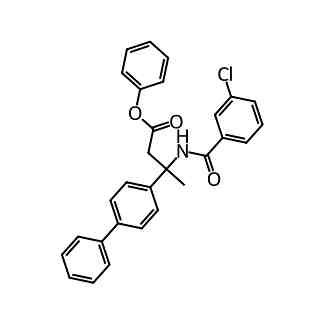 CC(CC(=O)Oc1ccccc1)(NC(=O)c1cccc(Cl)c1)c1ccc(-c2ccccc2)cc1